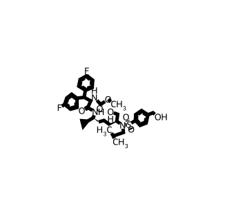 COC(=O)N[C@H](C(=O)N[C@H](CCC[C@@H](CO)N(CC(C)C)S(=O)(=O)c1ccc(CO)cc1)C1CC1)C(c1ccc(F)cc1)c1ccc(F)cc1